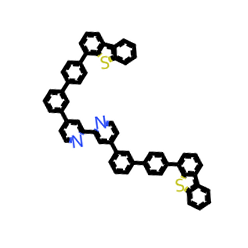 c1cc(-c2ccc(-c3cccc4c3sc3ccccc34)cc2)cc(-c2ccnc(-c3cc(-c4cccc(-c5ccc(-c6cccc7c6sc6ccccc67)cc5)c4)ccn3)c2)c1